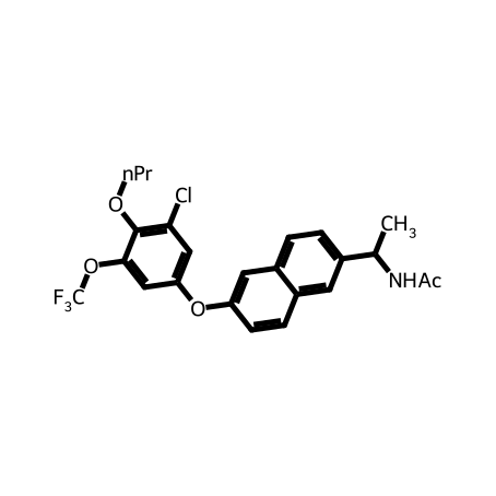 CCCOc1c(Cl)cc(Oc2ccc3cc(C(C)NC(C)=O)ccc3c2)cc1OC(F)(F)F